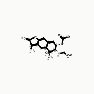 CCC(=O)O[C@H]1C=C2C=C3OC(=O)C(C)=C3C[C@]2(C)[C@@H](C)[C@H]1OCOC